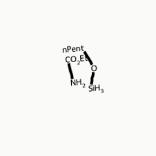 CCCCCO[SiH3].CCOC(N)=O